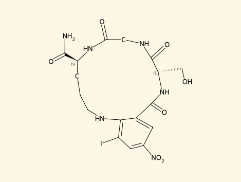 NC(=O)[C@@H]1CCCNc2c(I)cc([N+](=O)[O-])cc2C(=O)N[C@@H](CO)C(=O)NCC(=O)N1